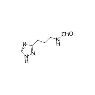 O=CNCCCc1nc[nH]n1